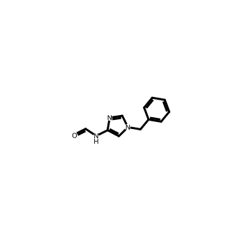 O=CNc1cn(Cc2ccccc2)cn1